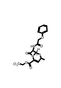 CC1C=C(C(=O)OCC(Cl)(Cl)Cl)N2C(=O)C(NC(=O)COc3ccccc3)[C@@H]2S1